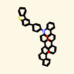 c1ccc(-c2ccc(-c3ccccc3N(c3ccc(-c4ccc5c(ccc6ccccc65)c4)cc3)c3ccc(-c4ccc5sc6ccccc6c5c4)cc3)cc2)cc1